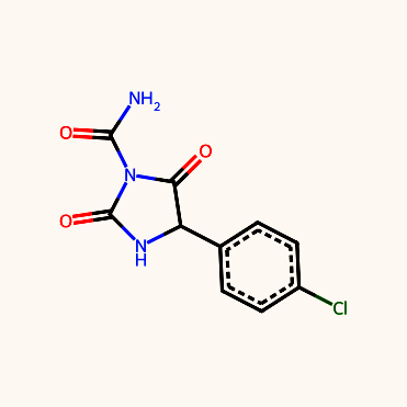 NC(=O)N1C(=O)NC(c2ccc(Cl)cc2)C1=O